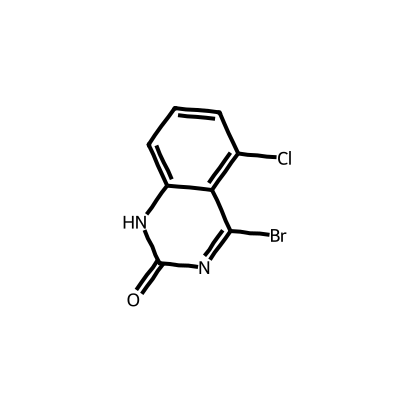 O=c1nc(Br)c2c(Cl)cccc2[nH]1